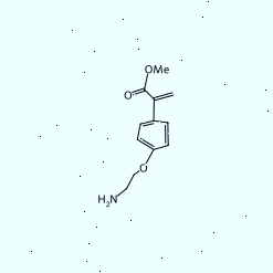 C=C(C(=O)OC)c1ccc(OCCN)cc1